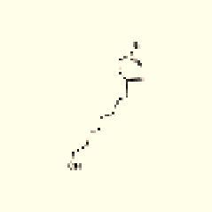 OCCCCCCCCc1ccc(Br)cc1